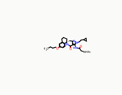 CC(=O)NCC(=O)Nc1c2c(nn1CCC1CC1)C[C@]1(CCCc3cc(OCCCC(F)(F)F)ccc31)NC2=O